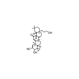 CC1(C)CC[C@]2(CCCO)CC[C@]3(C)[C@H](C(=O)C=C4[C@@]5(C)C=C(C#N)C(O)C6(CC6)[C@@H]5CC[C@]43C)[C@@H]2C1